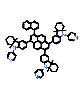 CC12CCCCC1(C)N(c1ccncc1)c1ccc(-c3cc(-c4ccc5c(c4)C4(C)CCCCC4(C)N5c4ccncc4)c4ccc5c(-c6cccc7ccccc67)cc(-c6ccc7c(c6)C6(C)CCCCC6(C)N7c6ccncc6)c6ccc3c4c65)cc12